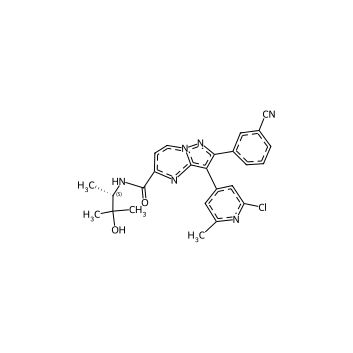 Cc1cc(-c2c(-c3cccc(C#N)c3)nn3ccc(C(=O)N[C@@H](C)C(C)(C)O)nc23)cc(Cl)n1